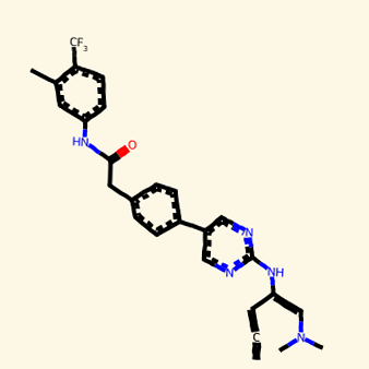 C=C=C/C(=C\N(C)C)Nc1ncc(-c2ccc(CC(=O)Nc3ccc(C(F)(F)F)c(C)c3)cc2)cn1